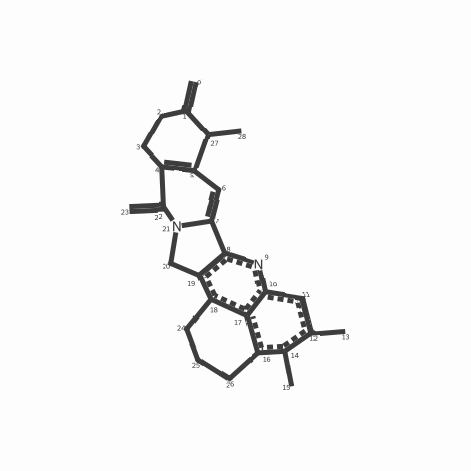 C=C1CCC2=C(C=C3c4nc5cc(C)c(C)c6c5c(c4CN3C2=C)CCC6)C1C